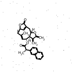 C=C1O[C@H]2CC3=C[C@@H](C/C(C)=C/[C@@H](OC(=O)[C@H](C)c4ccc5ccccc5c4)[C@@H]2C1=C)OC3=O